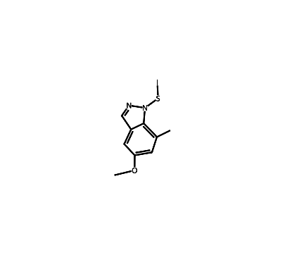 COc1cc(C)c2c(cnn2SI)c1